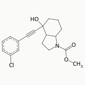 COC(=O)N1CCC2C1CCCC2(O)C#Cc1cccc(Cl)c1